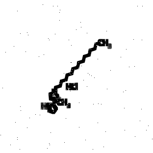 CCCCCCCCCCCCCCCCN1C=C[N+](C)(c2ccc[nH]2)C1.Cl